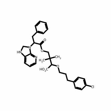 CC(C)(COC(=O)C(Cc1ccccc1)N1CNc2cccnc21)C(OCCCc1ccc(Cl)cc1)C(=O)O